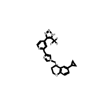 FC(F)(F)c1[nH]nnc1-c1ccnc(-c2cn(C[C@@H]3CCOc4ccc(C5CC5)cc43)cn2)c1